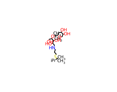 CC(C)C(C)(C)SCCCNCC(O)C(O)C(CO)OC(C)(C)C1C[C@@H](O)C(O)CO1